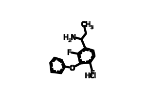 CCC(N)c1ccc(F)c(Oc2ccccc2)c1F.Cl